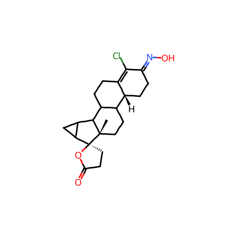 C[C@]12CCC3C(CCC4=C(Cl)/C(=N/O)CC[C@@H]43)C1C1CC1[C@@]21CCC(=O)O1